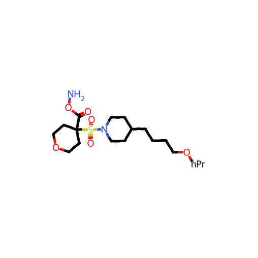 CCCOCCCCC1CCN(S(=O)(=O)C2(C(=O)ON)CCOCC2)CC1